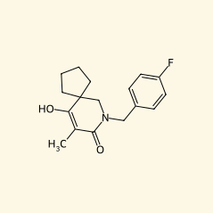 CC1=C(O)C2(CCCC2)CN(Cc2ccc(F)cc2)C1=O